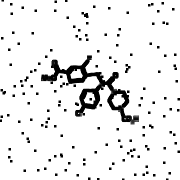 COC(=O)c1ccc(CN(C(=O)N2CCN(C(=O)O)CC2)c2ccc(Cl)cc2)c(F)c1